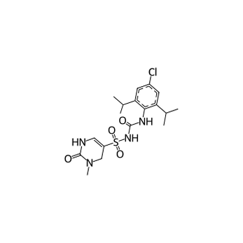 CC(C)c1cc(Cl)cc(C(C)C)c1NC(=O)NS(=O)(=O)C1=CNC(=O)N(C)C1